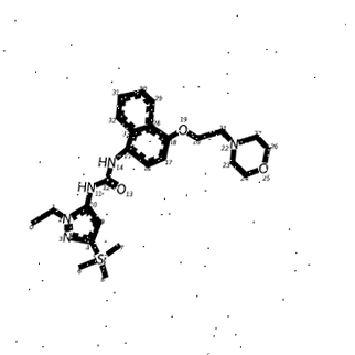 CCn1nc([Si](C)(C)C)cc1NC(=O)Nc1ccc(OCCN2CCOCC2)c2ccccc12